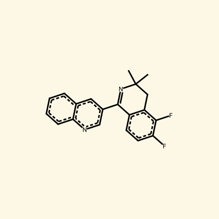 CC1(C)Cc2c(ccc(F)c2F)C(c2cnc3ccccc3c2)=N1